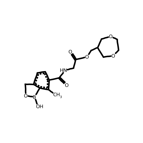 Cc1c(C(=O)NCC(=O)OCC2COCCOC2)ccc2c1B(O)OC2